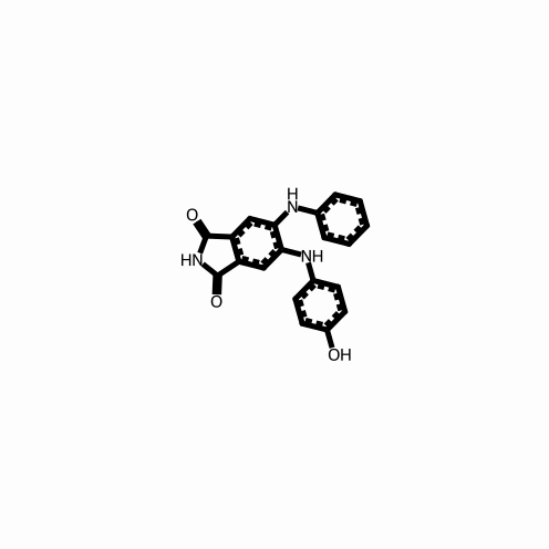 O=C1NC(=O)c2cc(Nc3ccc(O)cc3)c(Nc3ccccc3)cc21